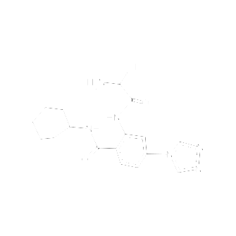 CC(N)C(=O)Nc1cc(-n2cnnc2)ccc1C(=O)NC1CCCCC1